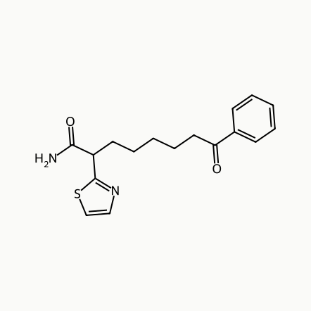 NC(=O)C(CCCCCC(=O)c1ccccc1)c1nccs1